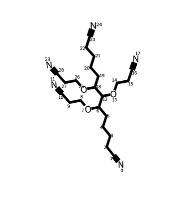 N#CCCCCC(OCCC#N)C(OCCC#N)C(CCCCC#N)OCCC#N